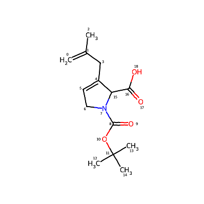 C=C(C)CC1=CCN(C(=O)OC(C)(C)C)C1C(=O)O